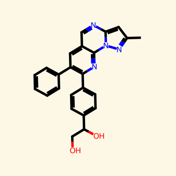 Cc1cc2ncc3cc(-c4ccccc4)c(-c4ccc(C(O)CO)cc4)nc3n2n1